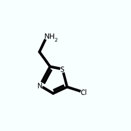 NCc1ncc(Cl)s1